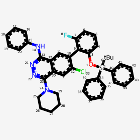 CC(C)(C)[Si](Oc1cccc(F)c1-c1cc2c(Nc3ccccc3)nnc(N3CCCCC3)c2cc1Cl)(c1ccccc1)c1ccccc1